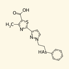 Cc1nc(-c2ccn(CC[AsH]c3ccccc3)n2)sc1C(=O)O